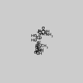 CCP(=O)(OC[C@H]1O[C@@H](n2cnc3c(=O)[nH]c(N)nc32)C(O)C1O)OP(=O)(O)OP(=O)(O)O